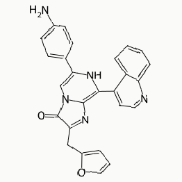 Nc1ccc(-c2cn3c(=O)c(Cc4ccco4)nc-3c(-c3ccnc4ccccc34)[nH]2)cc1